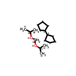 C1CCC(C2CCCC2)C1.CC(C)O[SiH2]OC(C)C